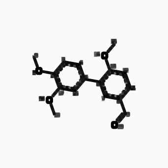 COc1ccc(-c2cc(C=O)ccc2OC)cc1OC